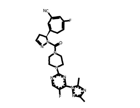 Cc1nc(C)n(-c2nc(N3CCN(C(=O)N4N=CC[C@H]4C4=CC(C#N)=CC(F)=CC4)CC3)ncc2F)n1